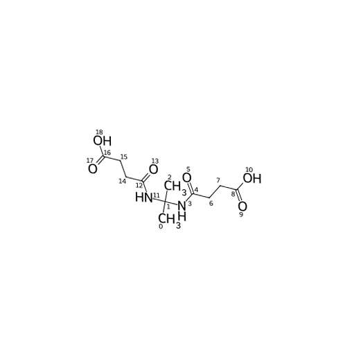 CC(C)(NC(=O)CCC(=O)O)NC(=O)CCC(=O)O